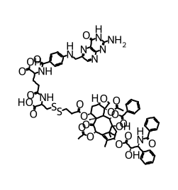 CC(=O)O[C@H]1C(=O)[C@@]2(C)C([C@H](OC(=O)c3ccccc3)[C@]3(O)C[C@H](OC(=O)[C@H](O)[C@@H](NC(=O)c4ccccc4)c4ccccc4)C(C)=C1C3(C)C)[C@]1(OC(C)=O)CO[C@@H]1C[C@@H]2OC(=O)CCSSCC(NC(=O)CCC(NC(=O)c1ccc(NCc2cnc3nc(N)[nH]c(=O)c3n2)cc1)C(=O)O)C(=O)O